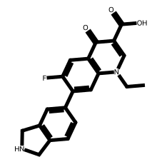 CCn1cc(C(=O)O)c(=O)c2cc(F)c(-c3ccc4c(c3)CNC4)cc21